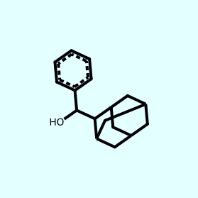 OC(c1ccccc1)C1C2CC3CC(C2)CC1C3